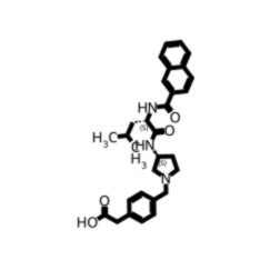 CC(C)C[C@H](NC(=O)c1ccc2ccccc2c1)C(=O)N[C@H]1CCN(Cc2ccc(CC(=O)O)cc2)C1